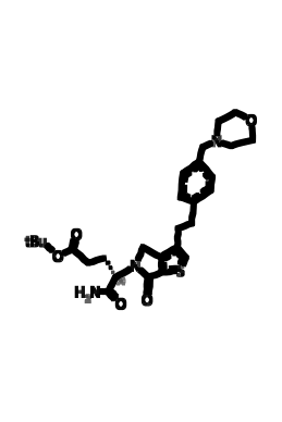 CC(C)(C)OC(=O)CC[C@@H](C(N)=O)N1Cc2c(CCc3ccc(CN4CCOCC4)cc3)csc2C1=O